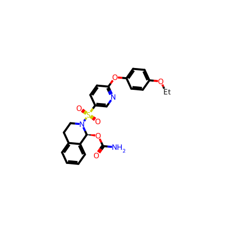 CCOc1ccc(Oc2ccc(S(=O)(=O)N3CCc4ccccc4[C@@H]3OC(N)=O)cn2)cc1